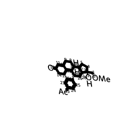 COC[C@]1(O)CC[C@H]2[C@@H]3CCC4=CC(=O)CCC4=C3[C@@H](c3ccc(C(C)=O)cc3)C[C@@]21C